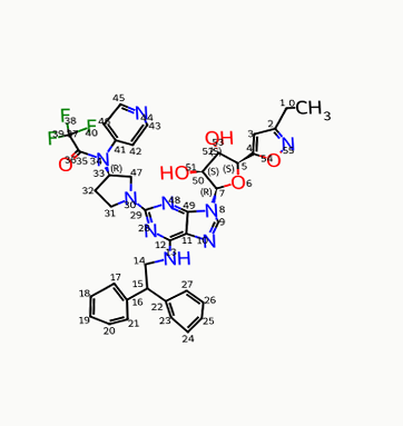 CCc1cc([C@H]2O[C@@H](n3cnc4c(NCC(c5ccccc5)c5ccccc5)nc(N5CC[C@@H](N(C(=O)C(F)(F)F)c6ccncc6)C5)nc43)[C@@H](O)[C@@H]2O)on1